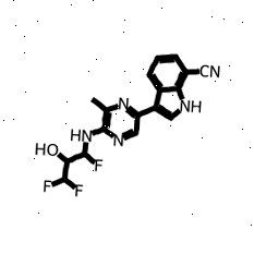 Cc1nc(-c2c[nH]c3c(C#N)cccc23)cnc1NC(F)C(O)C(F)F